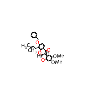 COc1cc2c(cc1OC)[C@@H]1C(=O)c3ccc(OCc4ccccc4)c(CC=C(C)C)c3O[C@@H]1CO2